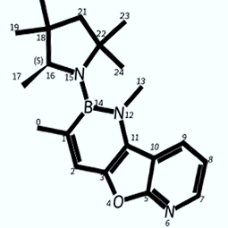 CC1=Cc2oc3ncccc3c2N(C)B1N1[C@@H](C)C(C)(C)CC1(C)C